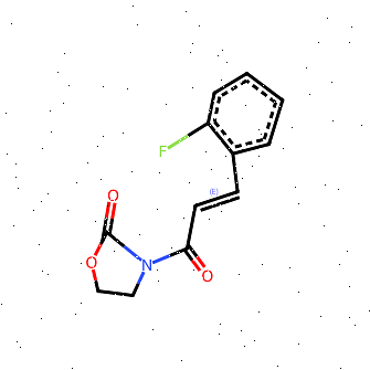 O=C(/C=C/c1ccccc1F)N1CCOC1=O